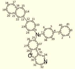 c1ccc(-c2ccc(N(c3ccc(-c4ccc5ccccc5c4)cc3)c3ccc4oc5ccncc5c4c3)cc2)cc1